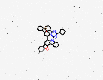 CC1C=Cc2c(oc3c2cc(-c2ccc4sc5ccccc5c4c2)c2c3c3ccccc3n2-c2nc(-c3ccccc3)nc(-c3ccccc3)n2)C1